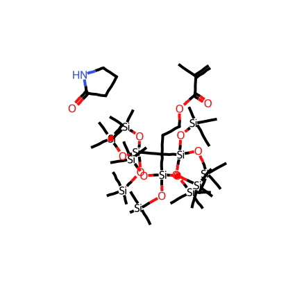 C=C(C)C(=O)OCCC([Si](O[Si](C)(C)C)(O[Si](C)(C)C)O[Si](C)(C)C)([Si](O[Si](C)(C)C)(O[Si](C)(C)C)O[Si](C)(C)C)[Si](O[Si](C)(C)C)(O[Si](C)(C)C)O[Si](C)(C)C.O=C1CCCN1